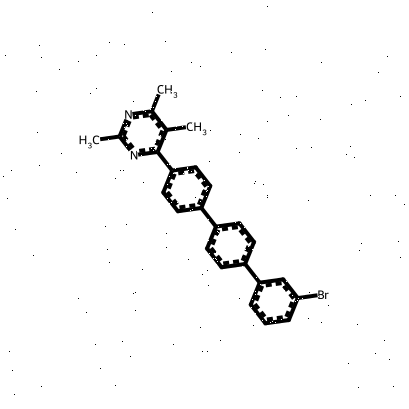 Cc1nc(C)c(C)c(-c2ccc(-c3ccc(-c4cccc(Br)c4)cc3)cc2)n1